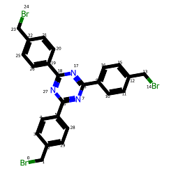 BrCc1ccc(-c2nc(-c3ccc(CBr)cc3)nc(-c3ccc(CBr)cc3)n2)cc1